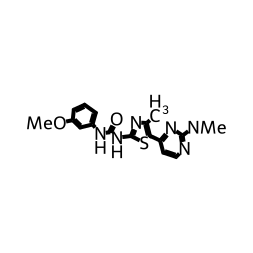 CNc1nccc(-c2sc(NC(=O)Nc3cccc(OC)c3)nc2C)n1